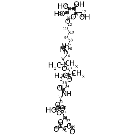 CC(C)(CCn1cc(CCCCCOC2O[C@H](CO)[C@H](O)[C@H](O)[C@H]2O)nn1)OCC(C)(C)OCCC(=O)NCCOP(=O)(O)OC[C@@H](COC=O)OC(=O)Cl